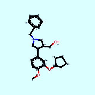 COc1ccc(C2CN(Cc3ccccc3)CC2CO)cc1OC1CCCC1